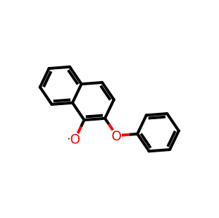 [O]c1c(Oc2ccccc2)ccc2ccccc12